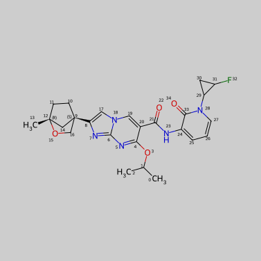 CC(C)Oc1nc2nc([C@]34CC[C@](C)(C3)OC4)cn2cc1C(=O)Nc1cccn(C2CC2F)c1=O